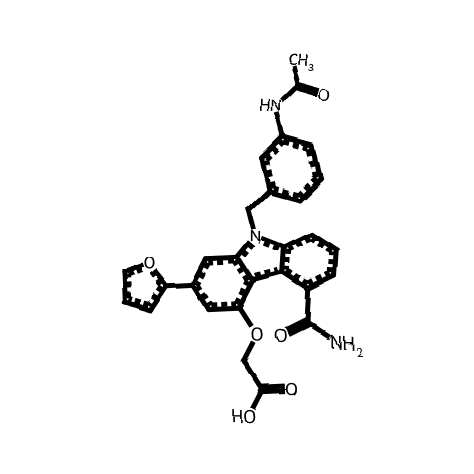 CC(=O)Nc1cccc(Cn2c3cc(-c4ccco4)cc(OCC(=O)O)c3c3c(C(N)=O)cccc32)c1